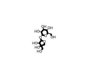 OC[C@H]1O[C@@H](OC2OCC(O)(CO)[C@H]2O)[C@H](O)[C@@H](O)[C@@H]1O